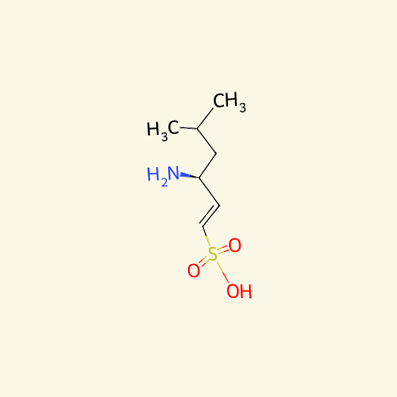 CC(C)C[C@H](N)C=CS(=O)(=O)O